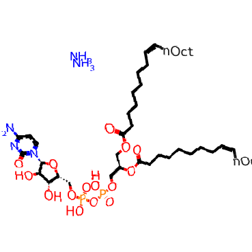 CCCCCCCC/C=C\CCCCCCCC(=O)OC[C@H](COP(=O)(O)OP(=O)(O)OC[C@H]1O[C@@H](n2ccc(N)nc2=O)C(O)[C@H]1O)OC(=O)CCCCCCC/C=C\CCCCCCCC.N.N